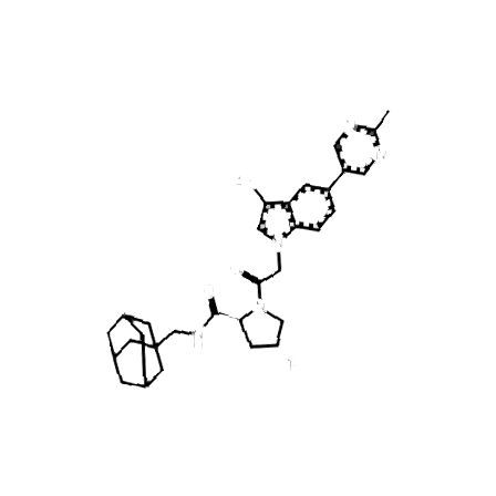 CC(=O)c1cn(CC(=O)N2C[C@H](F)C[C@H]2C(=O)NCC23CC4CC(CC(C4)C2)C3)c2ccc(-c3cnc(C)nc3)cc12